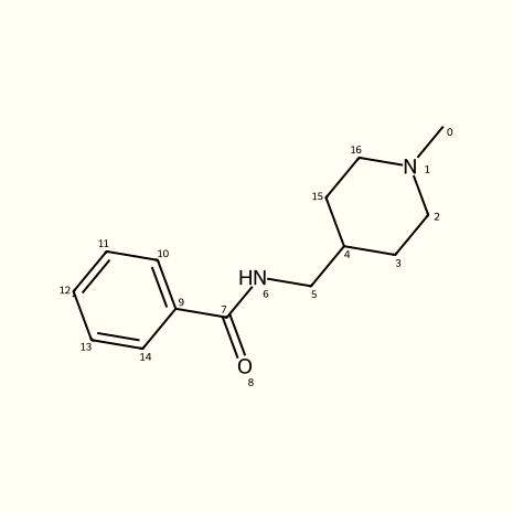 CN1CCC(CNC(=O)c2cc[c]cc2)CC1